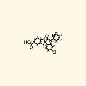 O=C(O)c1ccc2c(c1)C[C@@]1(C2)C(=O)N(c2ccccn2)c2cc(Cl)ccc21